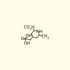 CC1C[C@@H](CP(=O)(O)O)C[C@@H](C(=O)O)N1